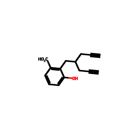 C#CCC(CC#C)Cc1c(O)cccc1C(=O)O